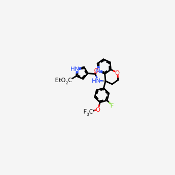 CCOC(=O)c1cc(C(=O)N[C@]2(c3ccc(OC(F)(F)F)c(F)c3)CCOc3cccnc32)c[nH]1